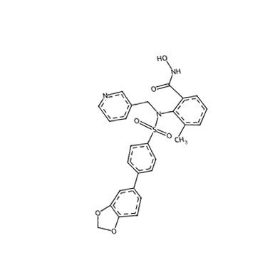 Cc1cccc(C(=O)NO)c1N(Cc1cccnc1)S(=O)(=O)c1ccc(-c2ccc3c(c2)OCO3)cc1